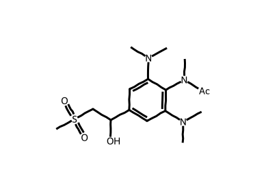 CC(=O)N(C)c1c(N(C)C)cc(C(O)CS(C)(=O)=O)cc1N(C)C